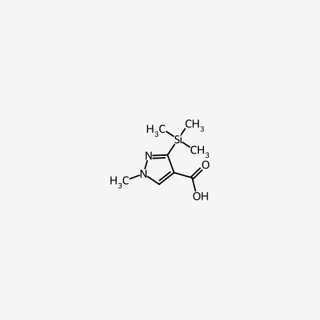 Cn1cc(C(=O)O)c([Si](C)(C)C)n1